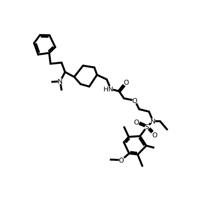 CCN(CCOCC(=O)NCC1CCC(C(CCc2ccccc2)N(C)C)CC1)S(=O)(=O)c1c(C)cc(OC)c(C)c1C